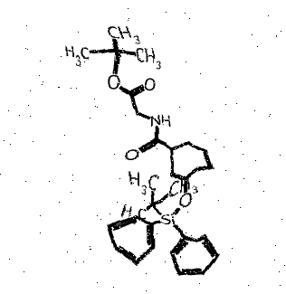 CC(C)(C)OC(=O)CNC(=O)C1CCCC(O[Si](c2ccccc2)(c2ccccc2)C(C)(C)C)C1